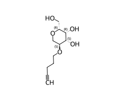 C#CCCCO[C@H]1CO[C@H](CO)[C@H](O)[C@@H]1O